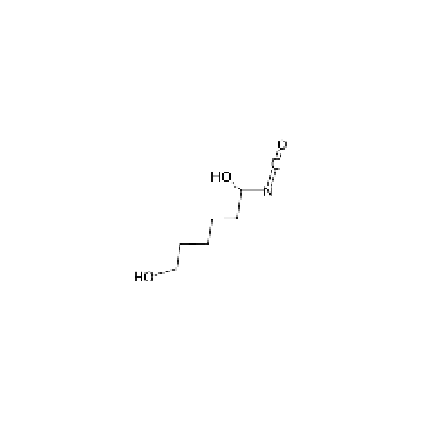 O=C=NC(O)CCCCCO